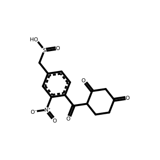 O=C1CCC(C(=O)c2ccc(CS(=O)O)cc2[N+](=O)[O-])C(=O)C1